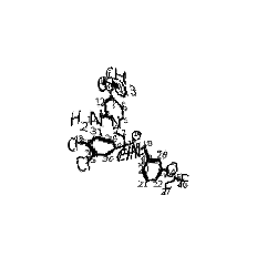 CC(CCN1CCC(S(C)(=O)=O)CC1N)(C(=O)NCc1cccc(OC(F)F)c1)c1ccc(Cl)c(Cl)c1